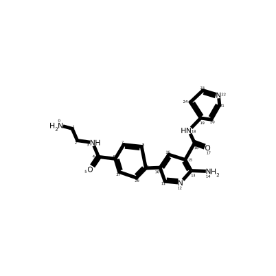 NCCNC(=O)c1ccc(-c2cnc(N)c(C(=O)Nc3ccncc3)c2)cc1